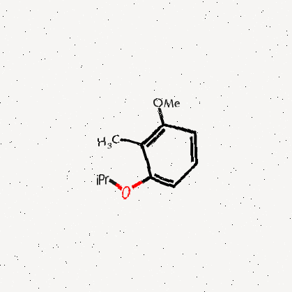 COc1cccc(OC(C)C)c1C